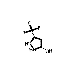 O[C@H]1C[C@@H](C(F)(F)F)NN1